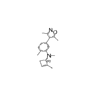 CC1=CC[C@H]1N(C)c1cc(-c2c(C)noc2C)ccc1C